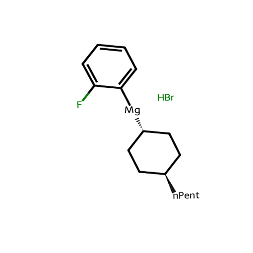 Br.CCCCC[C@H]1CC[C@H]([Mg][c]2ccccc2F)CC1